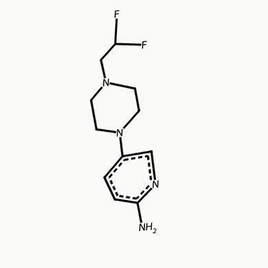 Nc1ccc(N2CCN(CC(F)F)CC2)cn1